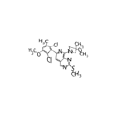 COc1cc(C)c(Cl)c(-c2cc3cnc(SC)nc3c(N3CC(C)(OC)C3)n2)c1Cl